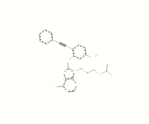 COc1ccc(C#Cc2ccccc2)c(Sc2nc3c(N)ncnc3n2CCCNC(C)C)c1